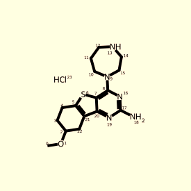 COC1CCc2sc3c(N4CCCNCC4)nc(N)nc3c2C1.Cl